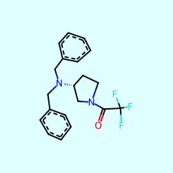 O=C(N1CC[C@@H](N(Cc2ccccc2)Cc2ccccc2)C1)C(F)(F)F